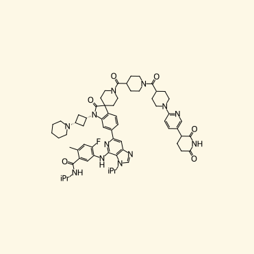 Cc1cc(F)c(Nc2nc(-c3ccc4c(c3)N([C@H]3C[C@@H](N5CCCCC5)C3)C(=O)C43CCN(C(=O)C4CCN(C(=O)C5CCN(c6ccc(C7CCC(=O)NC7=O)cn6)CC5)CC4)CC3)cc3ncn(C(C)C)c23)cc1C(=O)NC(C)C